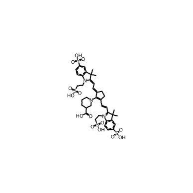 CC1(C)C(/C=C/C2=C(N3CCCC(C(=O)O)C3)C(=C/C=C3\N(CCS(=O)(=O)O)c4ccc(S(=O)(=O)O)cc4C3(C)C)/CC2)=[N+](CCS(=O)(=O)O)c2ccc(S(=O)(=O)O)cc21